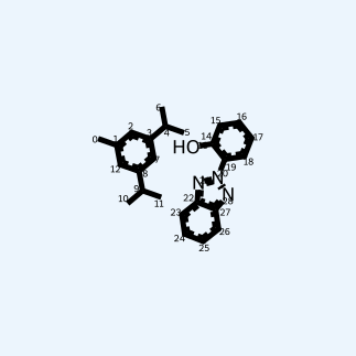 Cc1cc(C(C)C)cc(C(C)C)c1.Oc1ccccc1-n1nc2ccccc2n1